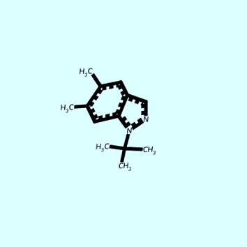 Cc1cc2cnn(C(C)(C)C)c2cc1C